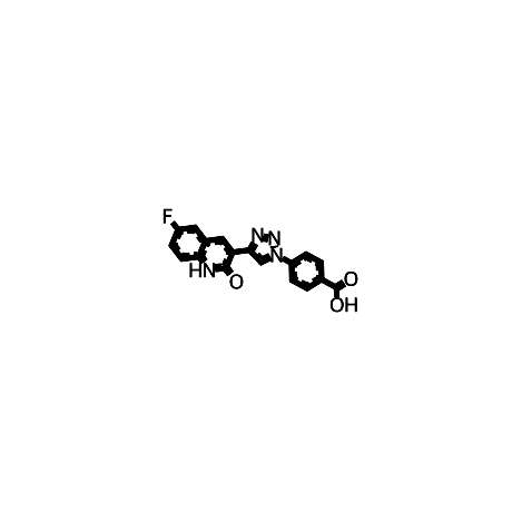 O=C(O)c1ccc(-n2cc(-c3cc4cc(F)ccc4[nH]c3=O)nn2)cc1